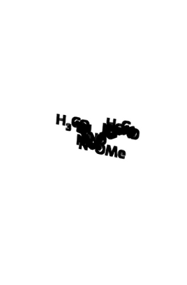 COc1cc2nnc(-c3cc(C)on3)n2nc1OCc1ccc(OCC2(C)COC2)cn1